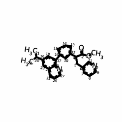 COC(=O)C(Cc1cccnc1)c1cccc(-c2cc(C(C)C)cc3cccnc23)c1